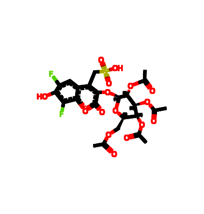 CC(=O)OC[C@H]1O[C@@H](Oc2c(CS(=O)(=O)O)c3cc(F)c(O)c(F)c3oc2=O)[C@H](OC(C)=O)[C@@H](OC(C)=O)[C@H]1OC(C)=O